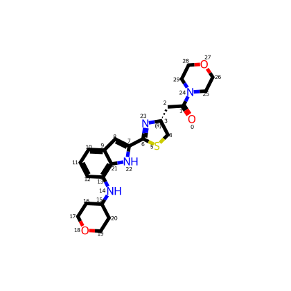 O=C(C[C@@H]1CSC(c2cc3cccc(NC4CCOCC4)c3[nH]2)=N1)N1CCOCC1